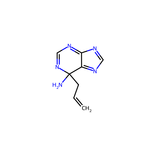 C=CCC1(N)N=CN=C2N=CN=C21